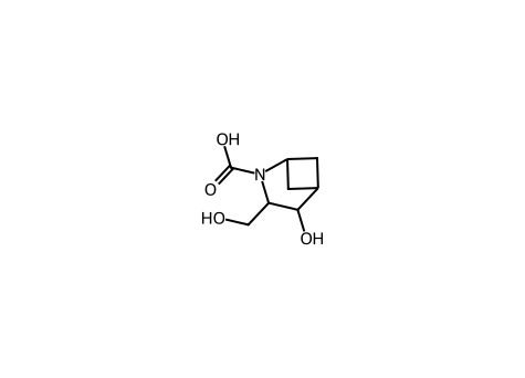 O=C(O)N1C2CC(C2)C(O)C1CO